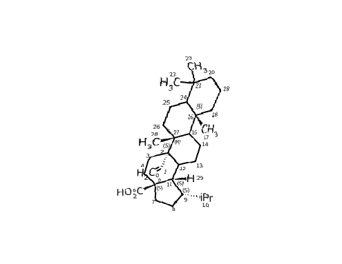 C=C[C@@]12CC[C@@]3(C(=O)O)CC[C@@H](C(C)C)[C@H]3C1CCC1[C@@]3(C)CCCC(C)(C)C3CC[C@]12C